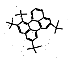 CC(C)(C)c1cc2cccc3c4c(C(C)(C)C)c(C(C)(C)C)cc5cc(C(C)(C)C)cc(c(c1)c23)c54